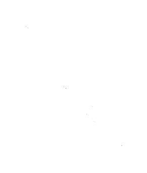 OCCCc1cn(-c2cccc(Nc3ccc(/C=C/c4ccncc4)cc3)c2)nn1